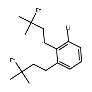 [Li][c]1cccc(CCC(C)(C)CC)c1[CH]CC(C)(C)CC